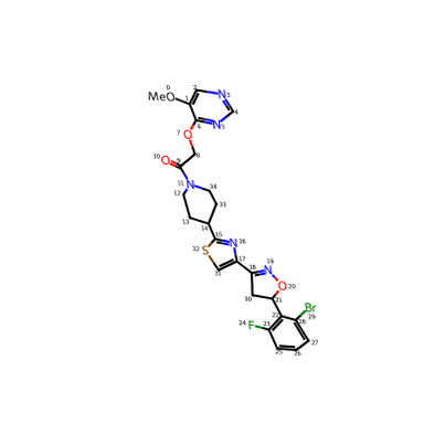 COc1cncnc1OCC(=O)N1CCC(c2nc(C3=NOC(c4c(F)cccc4Br)C3)cs2)CC1